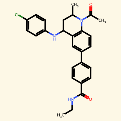 CCNC(=O)c1ccc(-c2ccc3c(c2)C(Nc2ccc(Cl)cc2)CC(C)N3C(C)=O)cc1